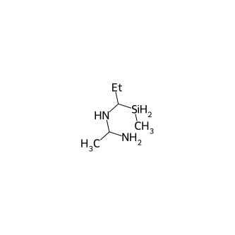 CCC(NC(C)N)[SiH2]C